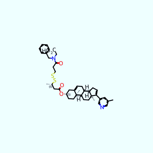 Cc1cncc(C2=CC[C@H]3[C@@H]4CC=C5C[C@@H](OC(=O)C[C@H](C)SSCCC(=O)N(CC(=O)O)Cc6ccccc6)CC[C@]5(C)[C@H]4CC[C@]23C)c1